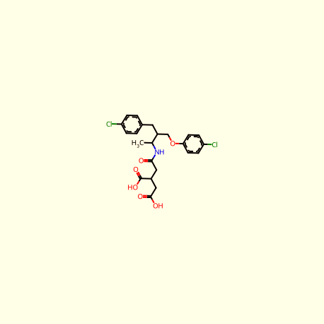 CC(NC(=O)CC(CC(=O)O)C(=O)O)C(COc1ccc(Cl)cc1)Cc1ccc(Cl)cc1